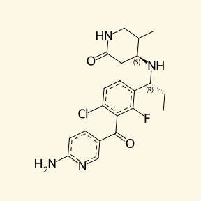 CC[C@@H](N[C@H]1CC(=O)NCC1C)c1ccc(Cl)c(C(=O)c2ccc(N)nc2)c1F